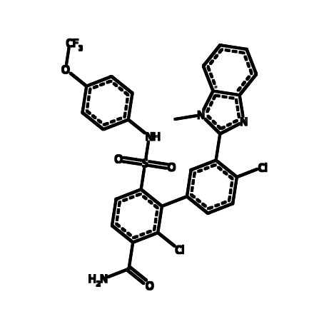 Cn1c(-c2cc(-c3c(S(=O)(=O)Nc4ccc(OC(F)(F)F)cc4)ccc(C(N)=O)c3Cl)ccc2Cl)nc2ccccc21